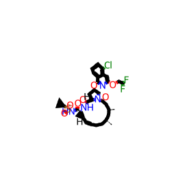 C[C@@H]1CC/C=C\[C@@H]2C[C@@]2(C(=O)NS(=O)(=O)C2CC2)NC(=O)[C@@H]2C[C@@H](Oc3nc(OCC(F)F)cc4c(Cl)cccc34)CN2C(=O)C[C@H](C)C1